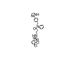 O=C(CCCNCS(=O)(=O)c1cccc(Cl)c1Cl)N(CCc1ccc(C2=NCCN2)cc1)c1ccccc1